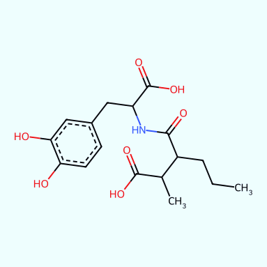 CCCC(C(=O)NC(Cc1ccc(O)c(O)c1)C(=O)O)C(C)C(=O)O